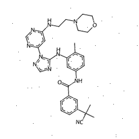 Cc1ccc(NC(=O)c2cccc(C(C)(C)C#N)c2)cc1Nc1ncnn1-c1cc(NCCN2CCOCC2)ncn1